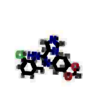 Cc1cccc(Cl)c1Nc1nc2cc3c(cc2n2cncc12)OCO3